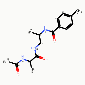 Cc1ccc(C(=O)NC(CNC(=O)C(NC(=O)OCC(C)C)C(C)C)C(C)C)cc1